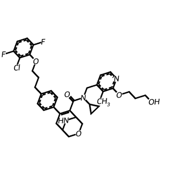 Cc1c(CN(C(=O)C2=C(c3ccc(CCCOc4c(F)ccc(F)c4Cl)cc3)CC3COCC2N3)C2CC2)ccnc1OCCCO